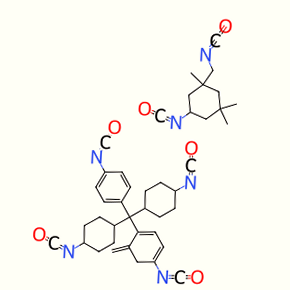 C=C1CC(N=C=O)=CC=C1C(c1ccc(N=C=O)cc1)(C1CCC(N=C=O)CC1)C1CCC(N=C=O)CC1.CC1(C)CC(N=C=O)CC(C)(CN=C=O)C1